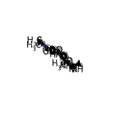 CC(C(=O)Nc1cc(C2CC2)[nH]n1)c1cccc(NC(=O)N2CCN(C(=O)/C=C/CN(C)C)CC2)c1